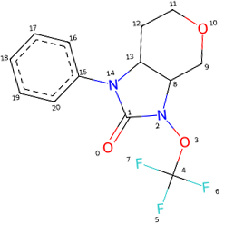 O=C1N(OC(F)(F)F)C2COCCC2N1c1ccccc1